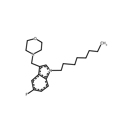 CCCCCCCCn1cc(CN2CCOCC2)c2cc(F)ccc21